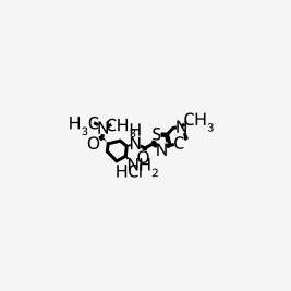 CN1CCc2nc(C(=O)N[C@@H]3C[C@@H](C(=O)N(C)C)CC[C@@H]3N)sc2C1.Cl